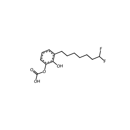 O=C(O)Oc1cccc(CCCCCCC(F)F)c1O